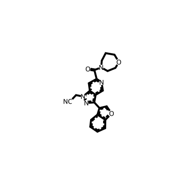 N#CCn1nc(-c2coc3ccccc23)c2cnc(C(=O)N3CCCOCC3)cc21